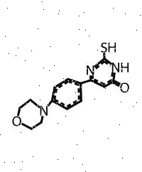 O=c1cc(-c2ccc(N3CCOCC3)cc2)nc(S)[nH]1